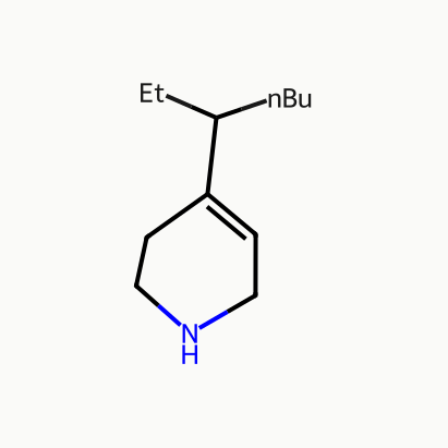 CCCCC(CC)C1=CCNCC1